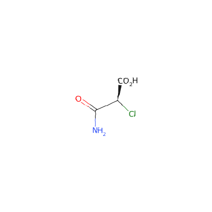 NC(=O)[C@H](Cl)C(=O)O